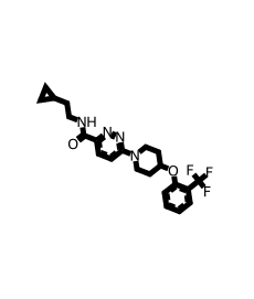 O=C(NCCC1CC1)c1ccc(N2CCC(Oc3ccccc3C(F)(F)F)CC2)nn1